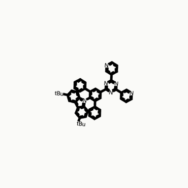 CC(C)(C)c1ccc2c(c1)c1cc(C(C)(C)C)ccc1n2-c1c(-c2ccccc2)cc(-c2nc(-c3cccnc3)nc(-c3cccnc3)n2)cc1-c1ccccc1